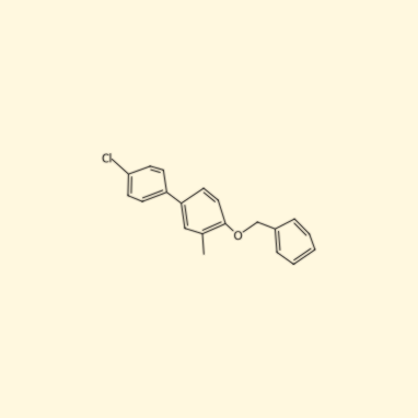 Cc1cc(-c2ccc(Cl)cc2)ccc1OCc1ccccc1